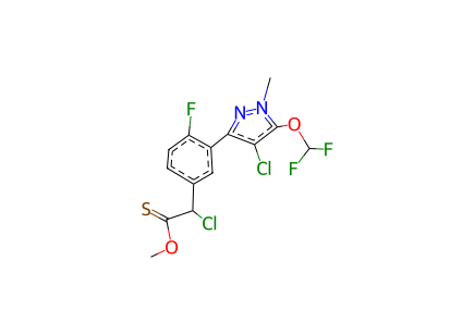 COC(=S)C(Cl)c1ccc(F)c(-c2nn(C)c(OC(F)F)c2Cl)c1